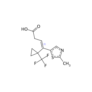 Cc1ncc(/C(=C/CC(=O)O)C2(C(F)(F)F)CC2)s1